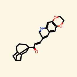 O=C(/C=C/c1cnc2cc3c(cc2c1)OCCO3)C12CCCC3CC(CC3C1)C2